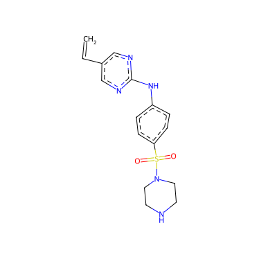 C=Cc1cnc(Nc2ccc(S(=O)(=O)N3CCNCC3)cc2)nc1